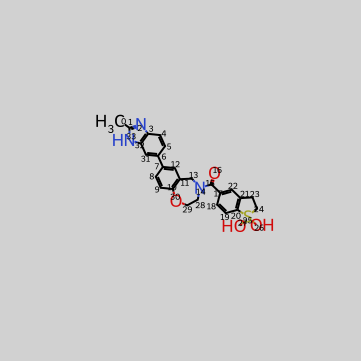 Cc1nc2ccc(-c3ccc4c(c3)CN(C(=O)c3ccc5c(c3)CCS5(O)O)CCO4)cc2[nH]1